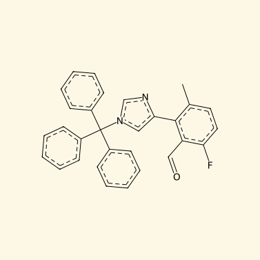 Cc1ccc(F)c(C=O)c1-c1cn(C(c2ccccc2)(c2ccccc2)c2ccccc2)cn1